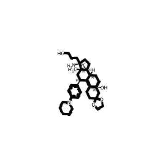 C[C@]12C[C@H](c3ccc(N4CCCCC4)cc3)C3=C4CCC5(C[C@]4(O)CC[C@H]3[C@@H]1CC[C@@]2(N)CCCO)OCCO5